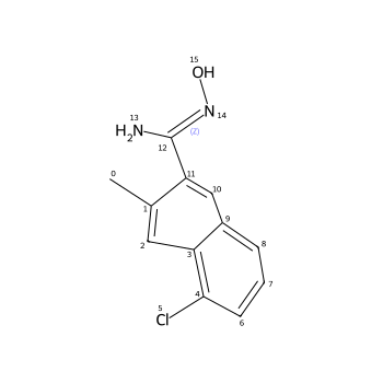 Cc1cc2c(Cl)cccc2cc1/C(N)=N/O